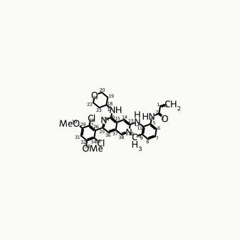 C=CC(=O)Nc1cccc(C)c1Nc1cc2c(NC3CCOCC3)nc(-c3c(Cl)c(OC)cc(OC)c3Cl)cc2cn1